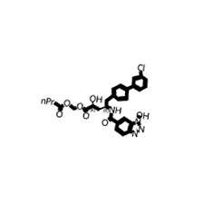 CCCC(=O)OCOC(=O)[C@H](O)C[C@@H](Cc1ccc(-c2cccc(Cl)c2)cc1)NC(=O)c1ccc2nnn(O)c2c1